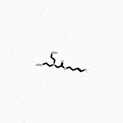 CCC=CCCOC(=O)CN(CCCCCCCCCCCC)CCCCCCCCCCCC